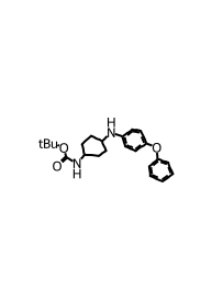 CC(C)(C)OC(=O)NC1CCC(Nc2ccc(Oc3ccccc3)cc2)CC1